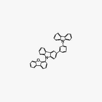 c1cc(-c2ccc3c(c2)c2ccccc2n3-c2cccc3c2oc2ccccc23)cc(-n2c3ccccc3c3ccccc32)c1